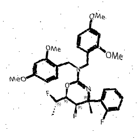 COc1ccc(CN(Cc2ccc(OC)cc2OC)C2=N[C@](C)(c3ccccc3F)[C@@H](F)[C@@H]([C@H](C)F)O2)c(OC)c1